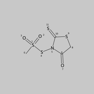 CS(=O)(=O)SN1C(=O)CSC1=S